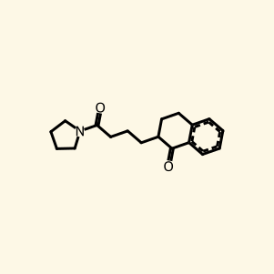 O=C1c2ccccc2CCC1CCCC(=O)N1CCCC1